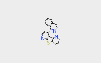 c1ccc2c(-c3ccnc4sc5cccnc5c34)nccc2c1